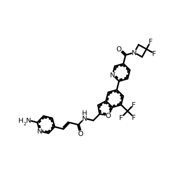 Nc1ccc(C=CC(=O)NCc2cc3cc(-c4ccc(C(=O)N5CC(F)(F)C5)cn4)cc(C(F)(F)F)c3o2)cn1